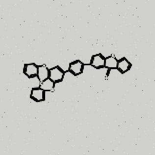 O=c1c2ccccc2oc2ccc(-c3ccc(-c4cc5c6c(c4)Oc4ccccc4N6c4ccccc4O5)cc3)cc12